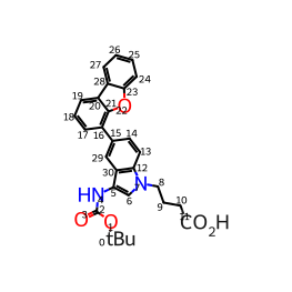 CC(C)(C)OC(=O)Nc1cn(CCCC(=O)O)c2ccc(-c3cccc4c3oc3ccccc34)cc12